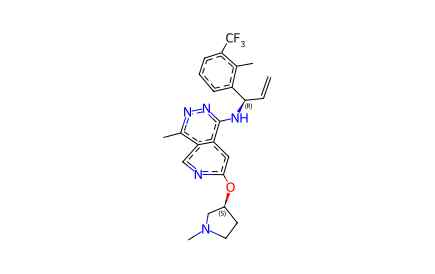 C=C[C@@H](Nc1nnc(C)c2cnc(O[C@H]3CCN(C)C3)cc12)c1cccc(C(F)(F)F)c1C